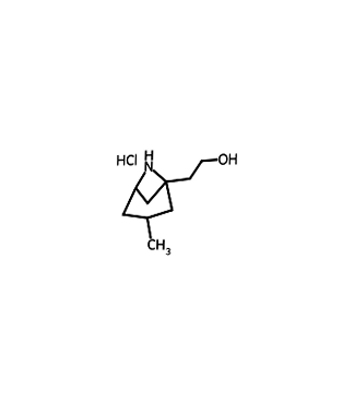 CC1CC2CC(CCO)(C1)N2.Cl